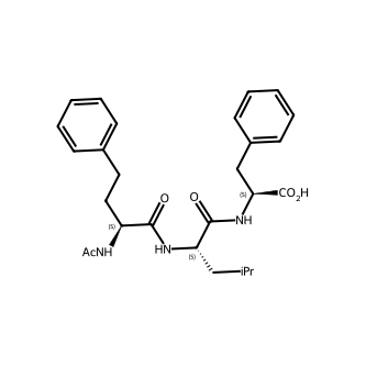 CC(=O)N[C@@H](CCc1ccccc1)C(=O)N[C@@H](CC(C)C)C(=O)N[C@@H](Cc1ccccc1)C(=O)O